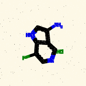 Cl.Nc1c[nH]c2c(F)cncc12